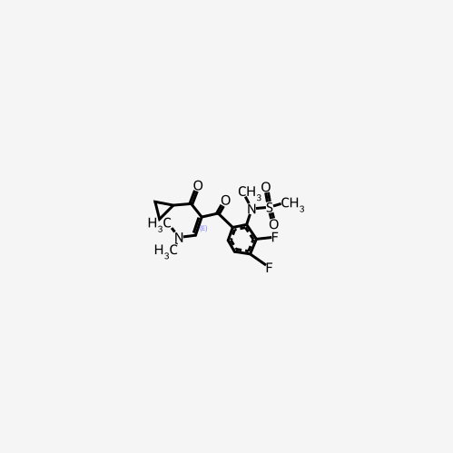 CN(C)/C=C(/C(=O)c1ccc(F)c(F)c1N(C)S(C)(=O)=O)C(=O)C1CC1